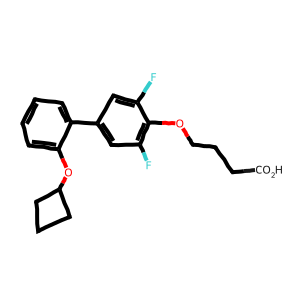 O=C(O)CCCOc1c(F)cc(-c2ccccc2OC2CCC2)cc1F